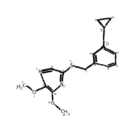 COc1ncc(SCc2cccc(C3CC3)c2)nc1OC